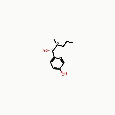 CCC[C@H](C)[C@@H](O)c1ccc(O)cc1